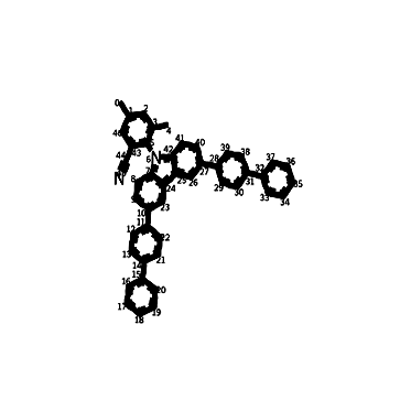 Cc1cc(C)c(-n2c3ccc(-c4ccc(-c5ccccc5)cc4)cc3c3cc(-c4ccc(-c5ccccc5)cc4)ccc32)c(C#N)c1